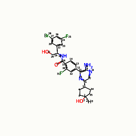 [2H]C1(O)CCC(c2cnc(N)c(-c3ccc(C(=O)NC(CO)c4cc(F)cc(Br)c4)c(F)c3)n2)CC1